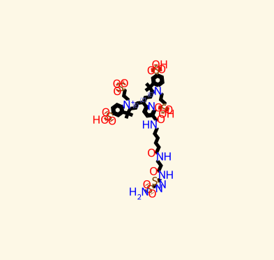 CC1(C)C(/C=C/C(=C/C=C2/N(CCCS(=O)(=O)O)c3ccc(S(=O)(=O)O)cc3C2(C)C)c2ccc(C(=O)NCCCCCC(=O)NCCC(=O)Nc3nnc(S(N)(=O)=O)s3)cn2)=[N+](CCCS(=O)(=O)[O-])c2ccc(S(=O)(=O)O)cc21